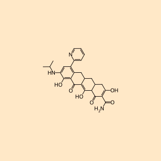 CC(C)Nc1cc(-c2ccccn2)c2c(c1O)C(=O)C1=C(O)C3C(=O)C(C(N)=O)=C(O)CC3CC1C2